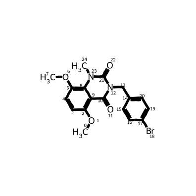 COc1ccc(OC)c2c1c(=O)n(Cc1ccc(Br)cc1)c(=O)n2C